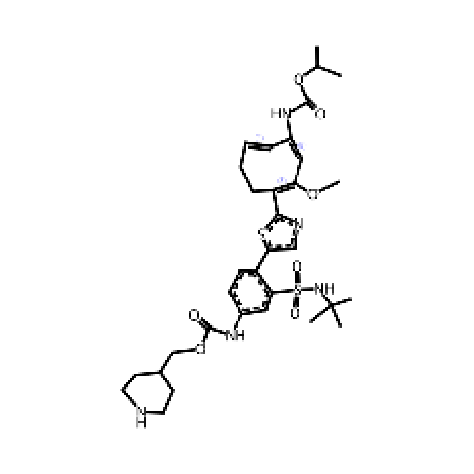 COC1=C(\c2ncc(-c3ccc(NC(=O)OCC4CCNCC4)cc3S(=O)(=O)NC(C)(C)C)s2)CC/C=C/C(NC(=O)OC(C)C)=C\1